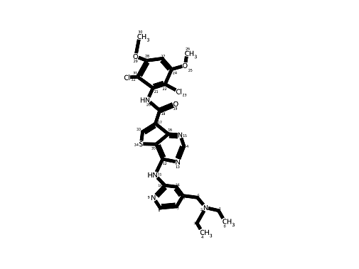 CCN(CC)Cc1ccnc(Nc2ncnc3c(C(=O)Nc4c(Cl)c(OC)cc(OC)c4Cl)csc23)c1